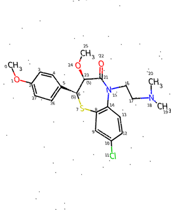 COc1ccc([C@@H]2Sc3cc(Cl)ccc3N(CCN(C)C)C(=O)[C@@H]2OC)cc1